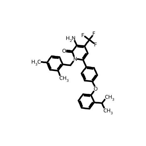 Cc1ccc(Cn2c(-c3ccc(Oc4ccccc4C(C)C)cc3)cc(C(F)(F)F)c(N)c2=O)c(C)c1